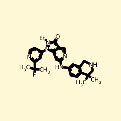 CCn1c(=O)c2cnc(Nc3ccc4c(c3)CNCC4(C)C)cc2n1-c1ccnc(C(C)(C)F)c1